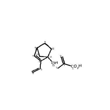 C=C(C)C(=O)O.C=CC1=CC2CCC1(O)C2